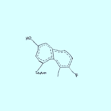 CSc1cc(O)cc2ccc(F)c(C)c12